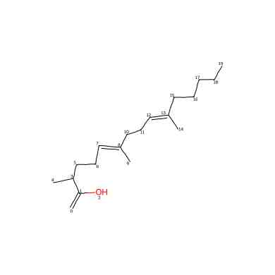 C=C(O)C(C)CC/C=C(\C)CC/C=C(\C)CCCCC